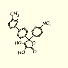 Cc1ccc(-c2ccc(C3(c4ccc([N+](=O)[O-])cc4)OC(=O)C(O)=C3O)cc2)s1